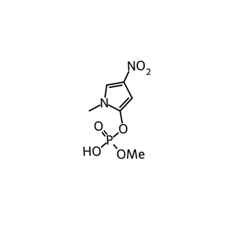 COP(=O)(O)Oc1cc([N+](=O)[O-])cn1C